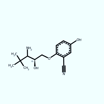 CC(C)(C)C(N)[C@H](O)COc1ccc(O)cc1C#N